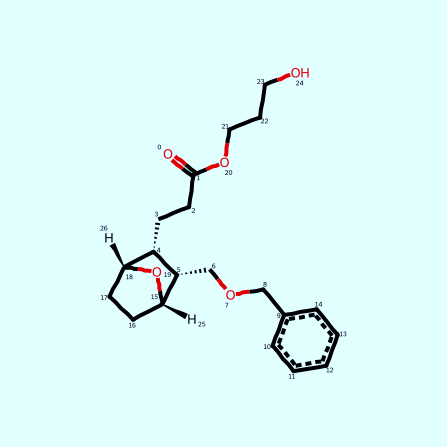 O=C(CC[C@@H]1[C@H](COCc2ccccc2)[C@@H]2CC[C@H]1O2)OCCCO